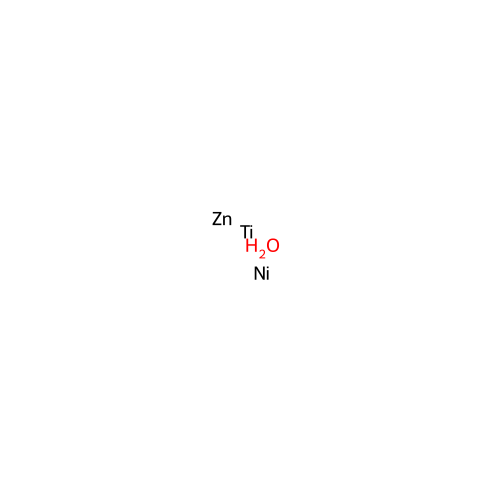 O.[Ni].[Ti].[Zn]